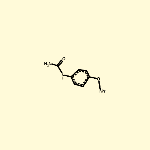 CCCOc1ccc(NC(N)=O)cc1